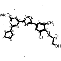 CCc1cc(-c2nc(-c3cc(OC)nc(C4CCCC4)c3)no2)cc(C)c1OCC(O)CO